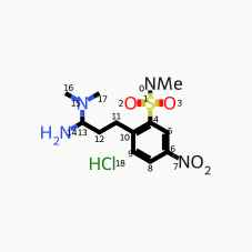 CNS(=O)(=O)c1cc([N+](=O)[O-])ccc1CCC(N)N(C)C.Cl